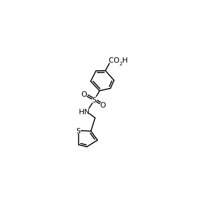 O=C(O)c1ccc(S(=O)(=O)NCc2cccs2)cc1